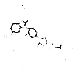 CC(=O)NC[C@H]1CN(c2ccc(-n3c(=O)oc4ccc(C)cc43)c(F)c2)C(=O)O1